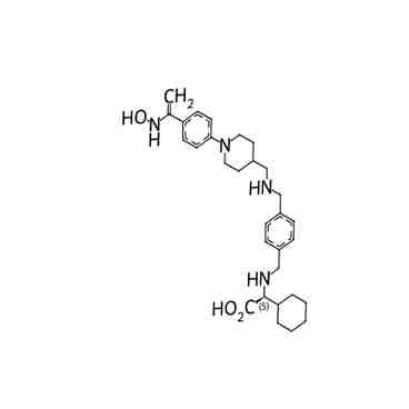 C=C(NO)c1ccc(N2CCC(CNCc3ccc(CN[C@H](C(=O)O)C4CCCCC4)cc3)CC2)cc1